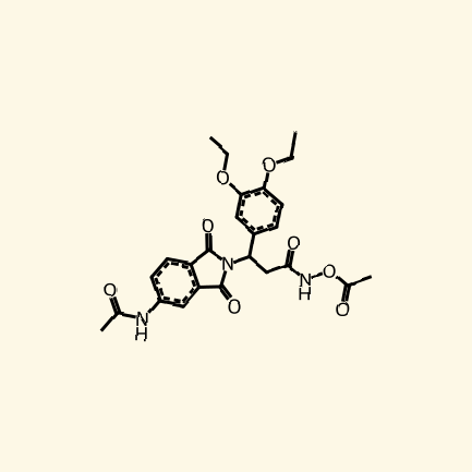 CCOc1ccc(C(CC(=O)NOC(C)=O)N2C(=O)c3ccc(NC(C)=O)cc3C2=O)cc1OCC